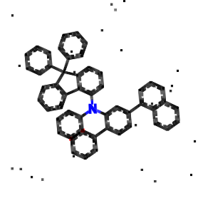 c1ccc(-c2ccc(-c3cccc4ccccc34)cc2N(c2ccccc2)c2cccc3c2-c2ccccc2C3(c2ccccc2)c2ccccc2)cc1